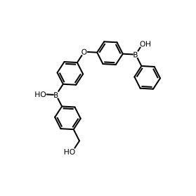 OCc1ccc(B(O)c2ccc(Oc3ccc(B(O)c4ccccc4)cc3)cc2)cc1